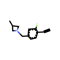 C#Cc1ccc(CN2CC(C)C2)cc1F